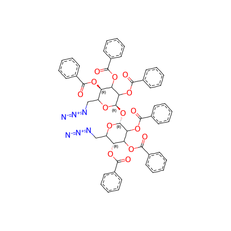 [N-]=[N+]=NCC1O[C@H](O[C@H]2OC(CN=[N+]=[N-])[C@@H](OC(=O)c3ccccc3)C(OC(=O)c3ccccc3)C2OC(=O)c2ccccc2)C(OC(=O)c2ccccc2)C(OC(=O)c2ccccc2)[C@@H]1OC(=O)c1ccccc1